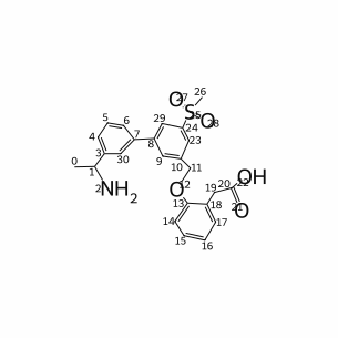 CC(N)c1cccc(-c2cc(COc3ccccc3CC(=O)O)cc(S(C)(=O)=O)c2)c1